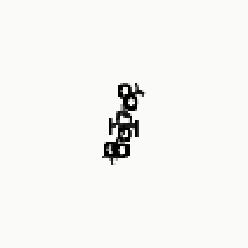 C=C(C)C(=O)OCc1cc(I)c(OCC(=O)OC(C)(C)C)c(I)c1